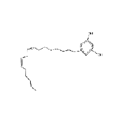 CCCCC/C=C\C/C=C\CCCCCCCc1cc(O)cc(O)c1